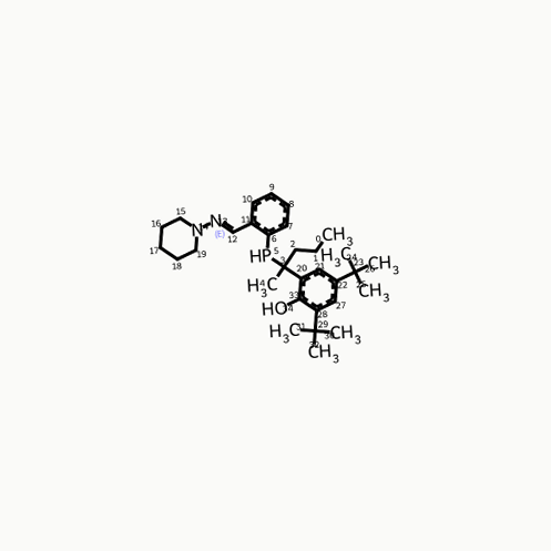 CCCC(C)(Pc1ccccc1/C=N/N1CCCCC1)c1cc(C(C)(C)C)cc(C(C)(C)C)c1O